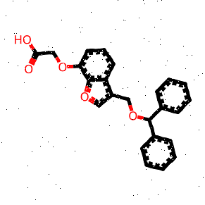 O=C(O)COc1cccc2c(COC(c3ccccc3)c3ccccc3)coc12